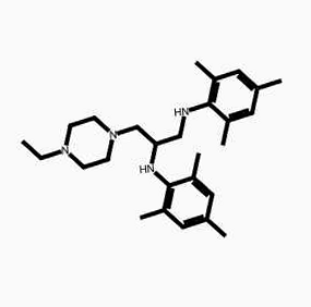 CCN1CCN(CC(CNc2c(C)cc(C)cc2C)Nc2c(C)cc(C)cc2C)CC1